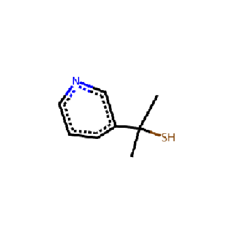 CC(C)(S)c1cccnc1